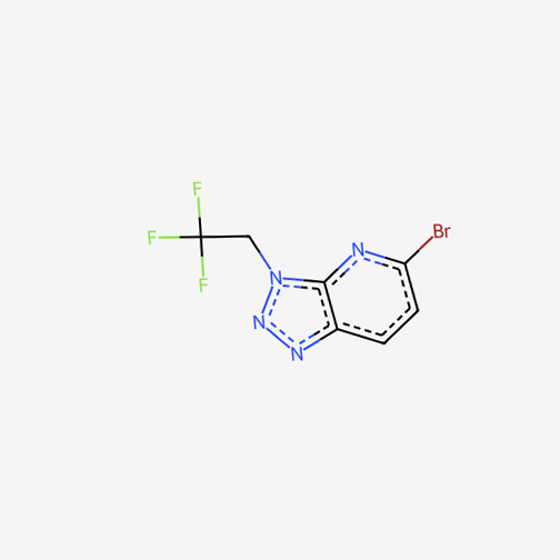 FC(F)(F)Cn1nnc2ccc(Br)nc21